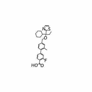 CCC(OCc1ccc(-c2ccc(C(=O)O)c(F)c2)c(C)c1)(c1nccs1)C1CCCCC1